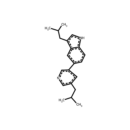 CC(C)Cc1cncc(-c2ccc3[nH]cc(CC(C)C)c3c2)c1